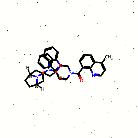 Cc1ccnc2c(C(=O)N3CCC(CCN4[C@@H]5CC[C@H]4CC(n4c(C)nc6ccccc64)C5)(c4ccccc4)CC3)cccc12